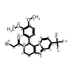 COc1ccc(C2c3c(nc4cc(C(F)(F)F)ccn34)CCN2C(=O)CBr)cc1OC